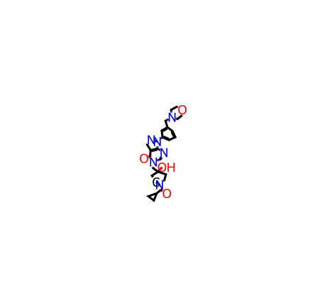 O=C(C1CC1)N1CCC(O)(Cn2cnc3c(cnn3-c3cccc(CN4CCOCC4)c3)c2=O)CC1